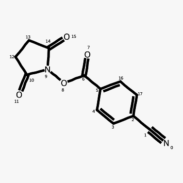 N#Cc1ccc(C(=O)ON2C(=O)CCC2=O)cc1